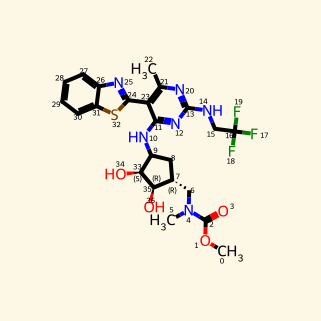 COC(=O)N(C)C[C@H]1CC(Nc2nc(NCC(F)(F)F)nc(C)c2-c2nc3ccccc3s2)[C@H](O)[C@@H]1O